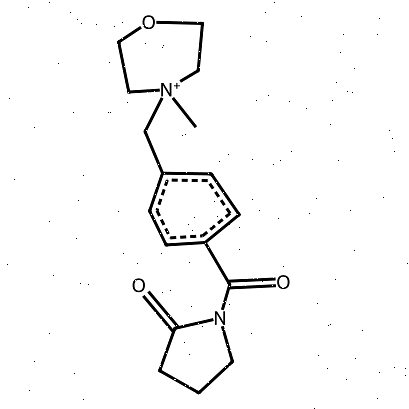 C[N+]1(Cc2ccc(C(=O)N3CCCC3=O)cc2)CCOCC1